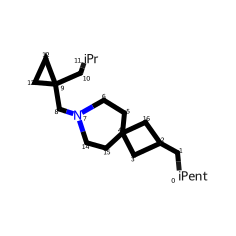 CCCC(C)CC1CC2(CCN(CC3(CC(C)C)CC3)CC2)C1